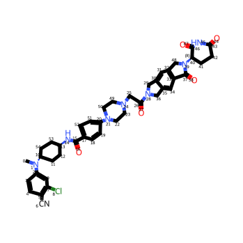 CN(c1ccc(C#N)c(Cl)c1)[C@H]1CC[C@H](NC(=O)c2ccc(N3CCN(CC(=O)N4Cc5cc6c(cc5C4)C(=O)N([C@@H]4CCC(=O)NC4=O)C6)CC3)cc2)CC1